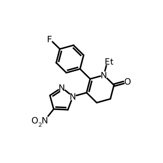 CCN1C(=O)CCC(n2cc([N+](=O)[O-])cn2)=C1c1ccc(F)cc1